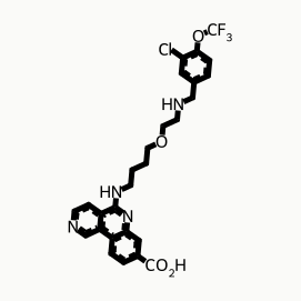 O=C(O)c1ccc2c(c1)nc(NCCCCOCCNCc1ccc(OC(F)(F)F)c(Cl)c1)c1ccncc12